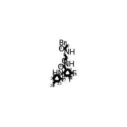 O=C(CBr)NCCONC(=O)c1cc(F)c(F)cc1Nc1ccc(I)cc1F